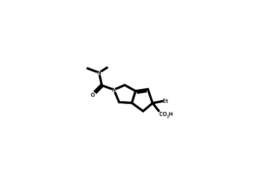 CCC1(C(=O)O)C=C2CN(C(=O)N(C)C)CC2C1